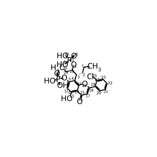 CCC[C@H](c1c(OP(=O)(O)O)cc(O)c2c(=O)cc(-c3ccccc3Cl)oc12)[C@@H](CC)OP(=O)(O)O